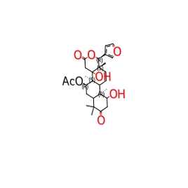 CC(=O)O[C@@H]1CC2C(C)(C)C(=O)CC(O)[C@]2(C)C2CC[C@@]3(C)[C@H](c4ccoc4)OC(=O)CC3(O)[C@@]21C